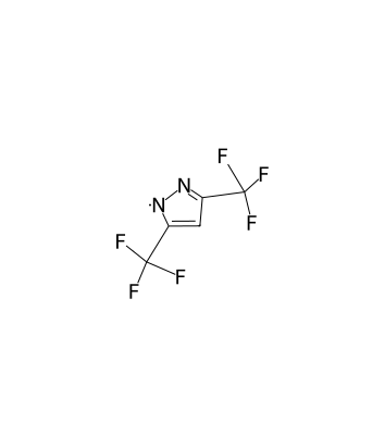 FC(F)(F)C1=CC(C(F)(F)F)=N[N]1